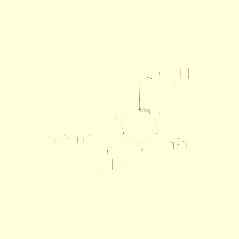 CCCCCC(C(C)C)C(CCC(C)C)OC(=O)CC(=O)O